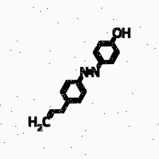 C=CCc1ccc(N=Nc2ccc(O)cc2)cc1